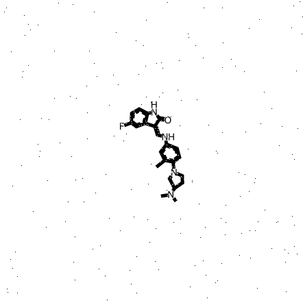 Cc1cc(NC=C2C(=O)Nc3ccc(F)cc32)ccc1N1CCC(N(C)C)C1